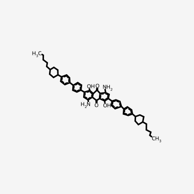 CCCCCC1CCC(c2ccc(-c3ccc(-c4cc(N)c5c(c4O)C(=O)c4c(N)cc(-c6ccc(-c7ccc(C8CCC(CCCCC)CC8)cc7)cc6)c(O)c4C5=O)cc3)cc2)CC1